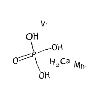 O=P(O)(O)O.[CaH2].[Mn].[V]